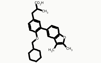 Cc1oc2ccc(-c3cc(CC(C)C(=O)O)ccc3OCC3CCCCC3)cc2c1C